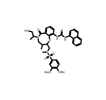 COc1ccc(S(=O)(=O)N(C)CC2Oc3c(NC(=O)Nc4cccc5ccccc45)cccc3C(=O)N(C(C)CO)CC2C)cc1OC